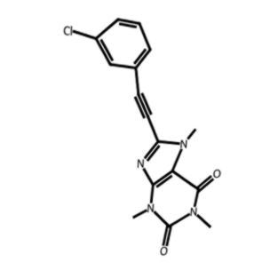 Cn1c(=O)c2c(nc(C#Cc3cccc(Cl)c3)n2C)n(C)c1=O